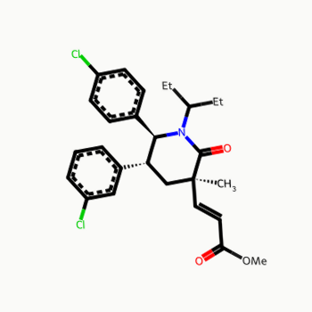 CCC(CC)N1C(=O)[C@@](C)(/C=C/C(=O)OC)C[C@H](c2cccc(Cl)c2)[C@H]1c1ccc(Cl)cc1